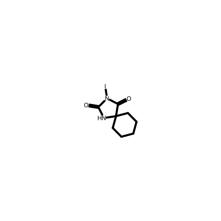 O=C1NC2(CCCCC2)C(=O)N1I